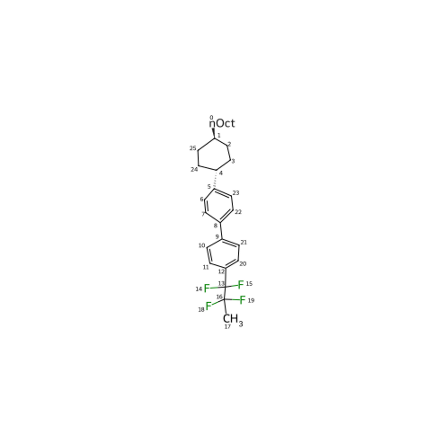 CCCCCCCC[C@H]1CC[C@H](c2ccc(-c3ccc(C(F)(F)C(C)(F)F)cc3)cc2)CC1